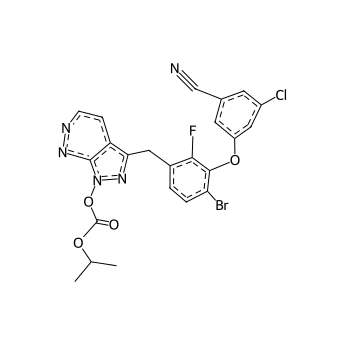 CC(C)OC(=O)On1nc(Cc2ccc(Br)c(Oc3cc(Cl)cc(C#N)c3)c2F)c2ccnnc21